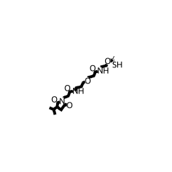 CC(C)C1CC(=O)N(CCC(=O)NCCCOCCC(=O)NCCO[C@H](C)S)C1=O